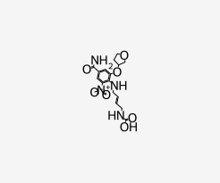 NC(=O)c1cc(OC2CCOC2)c(NCC=CCNC(=O)O)c([N+](=O)[O-])c1